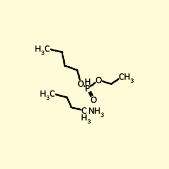 CCCC.CCCCO[PH](=O)OCC.N